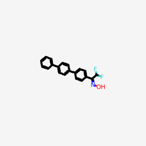 O/N=C(/c1ccc(-c2ccc(-c3ccccc3)cc2)cc1)C(F)F